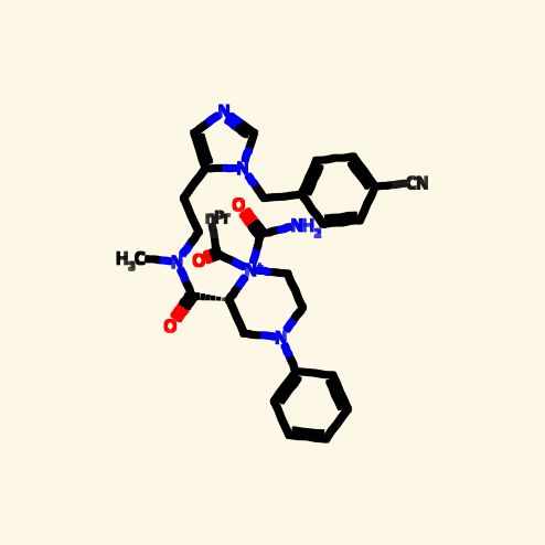 CCCC(=O)[N+]1(C(N)=O)CCN(c2ccccc2)C[C@@H]1C(=O)N(C)CCc1cncn1Cc1ccc(C#N)cc1